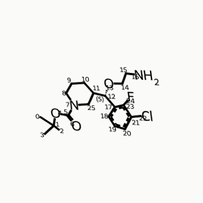 CC(C)(C)OC(=O)N1CCCC([C@H](OCCN)c2cccc(Cl)c2F)C1